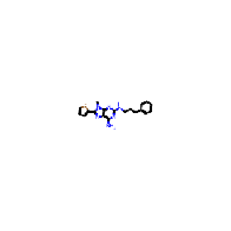 Cn1c(-c2cccs2)nc2c(N)nc(NCCCc3ccccc3)nc21